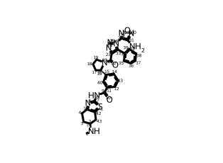 CN[C@H]1CCc2nc(NC(=O)c3cccc([C@H]4CCCN4C(=O)c4nnn(-c5nonc5N)c4-c4ccccc4)c3)sc2C1